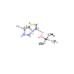 CC(C)(C)[Si](C)(C)OCc1csc2c(I)ncn12